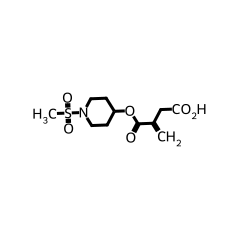 C=C(CC(=O)O)C(=O)OC1CCN(S(C)(=O)=O)CC1